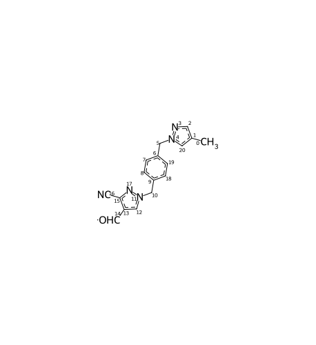 Cc1cnn(Cc2ccc(Cn3cc([C]=O)c(C#N)n3)cc2)c1